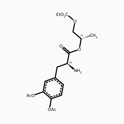 CCOC(=O)OC[C@H](C)OC(=O)[C@@H](N)Cc1ccc(OC(C)=O)c(OC(C)=O)c1